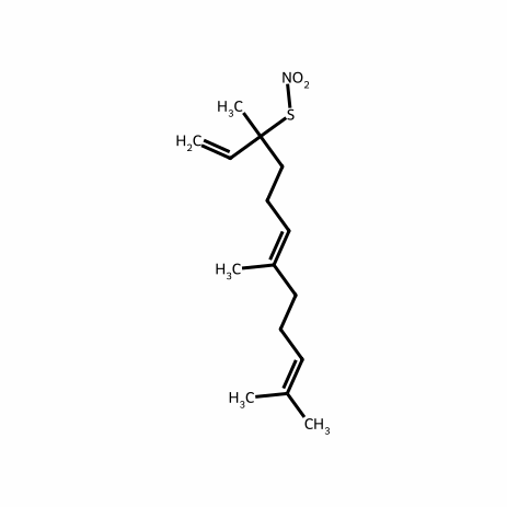 C=CC(C)(CC/C=C(\C)CCC=C(C)C)S[N+](=O)[O-]